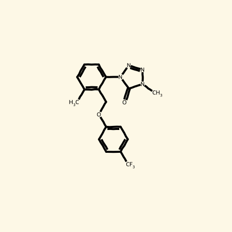 Cc1cccc(-n2nnn(C)c2=O)c1COc1ccc(C(F)(F)F)cc1